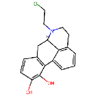 Oc1ccc2c(c1O)-c1cccc3c1[C@@H](C2)N(CCCl)CC3